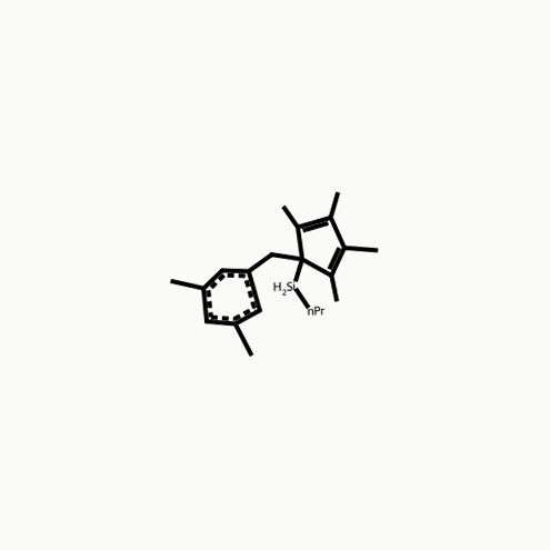 CCC[SiH2]C1(Cc2cc(C)cc(C)c2)C(C)=C(C)C(C)=C1C